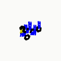 N=C/C(=C\NC1CCCNC1)Nc1nc(NC2CCCCC2)c2sccc2n1